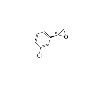 Clc1cccc([C@H]2CO2)c1